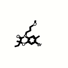 CCC1(C)Oc2cc(Br)c(C)cc2N(CCCOC)C1=O